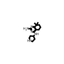 CC1(C)CCCc2c(NC3CCNCC3)nc(N)nc21